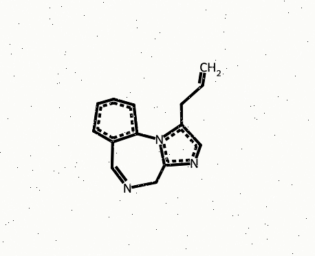 C=CCc1cnc2n1-c1ccccc1C=NC2